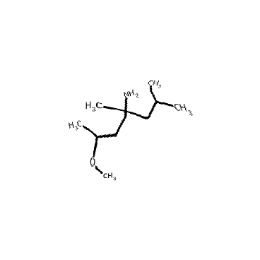 COC(C)CC(C)(N)CC(C)C